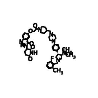 Cc1cccc(F)c1CN1C[C@H](c2ccc(N3CCN(CC4CCN(C(=O)COc5ccc6nnn(C7CCC(=O)NC7=O)c(=O)c6c5)CC4)CC3)cc2)[C@@H](N(C)C)C1